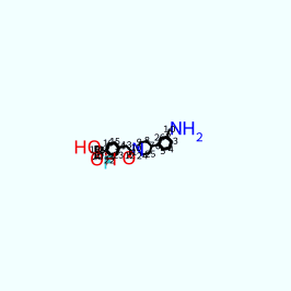 NCc1cccc(C2CCN(C(=O)Cc3ccc(B(O)O)c(F)c3)CC2)c1